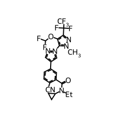 CCN(C(=O)c1cc(-c2cnn(-c3c(OC(F)F)c(C(F)(F)C(F)(F)F)nn3C)c2)ccc1C#N)C1CC1